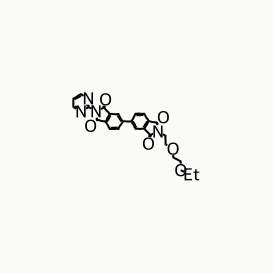 CCOCCOCCN1C(=O)c2ccc(-c3ccc4c(c3)C(=O)N(c3ncccn3)C4=O)cc2C1=O